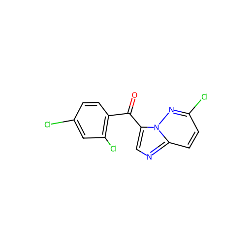 O=C(c1ccc(Cl)cc1Cl)c1cnc2ccc(Cl)nn12